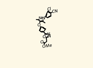 COC(=O)Cc1nnc(-c2ccc(Oc3c(C)nn(-c4ccc(C#N)c(Cl)c4)c3C)cc2)o1